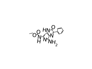 CCOC(=O)Nc1cc2[nH]c(=O)c(-c3ccccc3)nc2c(N)n1